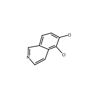 Clc1ccc2cnccc2c1Cl